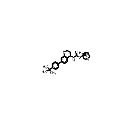 CC(C)(C)c1ccc(-c2ccc3c(c2)OCCC3NC(=O)O[C@@H]2CN3CCC2CC3)cc1